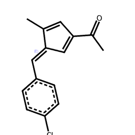 CC(=O)C1=C/C(=C\c2ccc(Cl)cc2)C(C)=C1